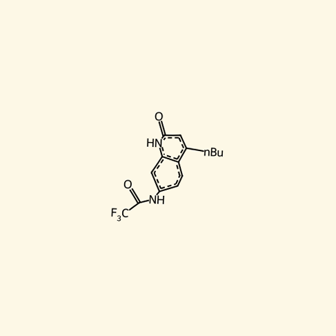 CCCCc1cc(=O)[nH]c2cc(NC(=O)C(F)(F)F)ccc12